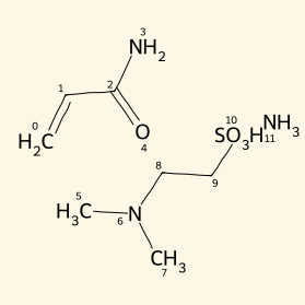 C=CC(N)=O.CN(C)CCS(=O)(=O)O.N